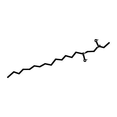 CCCCCCCCCCCCCC[S+]([O-])CC[S+]([O-])CC